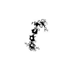 CC(C)(C)OC(=O)N1CC2CC1CN2c1ccc(B2OC(C)(C)C(C)(C)O2)cc1